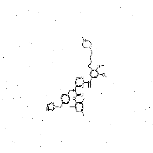 COc1cc(Nc2nccc(N(Cc3ccc(Cn4cncn4)cc3)C(=O)Oc3c(C)cc(C)cc3C)n2)cc(OCCCN2CCN(C)CC2)c1OC